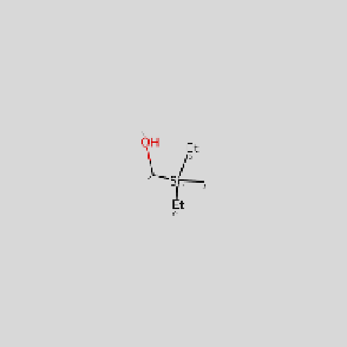 CC[Si](C)(CC)CO